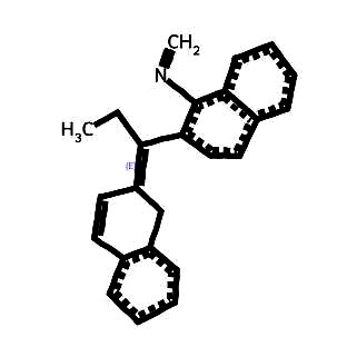 C=Nc1c(/C(CC)=C2/C=Cc3ccccc3C2)ccc2ccccc12